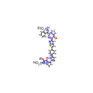 CCOC(=O)N[C@@H](C(=O)N1CCC[C@H]1C(=O)Nc1cn2cc(-c3ccc(-c4cnc([C@@H]5CCCN5C(=O)[C@@H](NC(=O)O)C(C)C)[nH]4)cc3)sc2n1)c1ccccc1